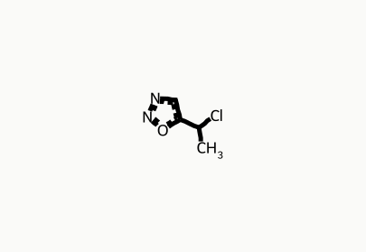 CC(Cl)c1cnno1